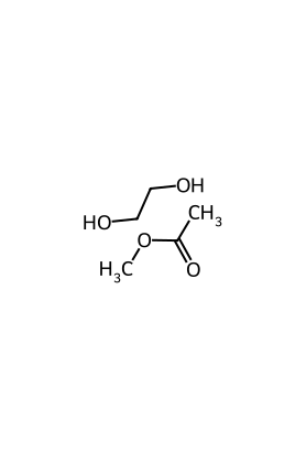 COC(C)=O.OCCO